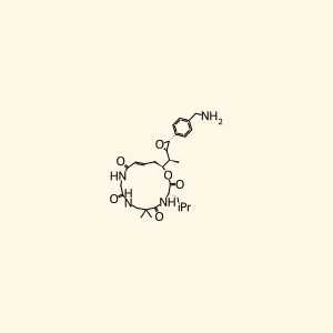 CC(C)C[C@@H]1NC(=O)C(C)(C)CNC(=O)CNC(=O)/C=C/C[C@@H]([C@H](C)[C@H]2O[C@@H]2c2ccc(CN)cc2)OC1=O